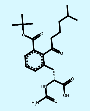 CC(C)CCCC(=O)c1c(C[C@@H](NC(N)=O)C(=O)O)cccc1C(=O)OC(C)(C)C